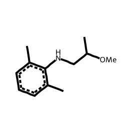 COC(C)CNc1c(C)cccc1C